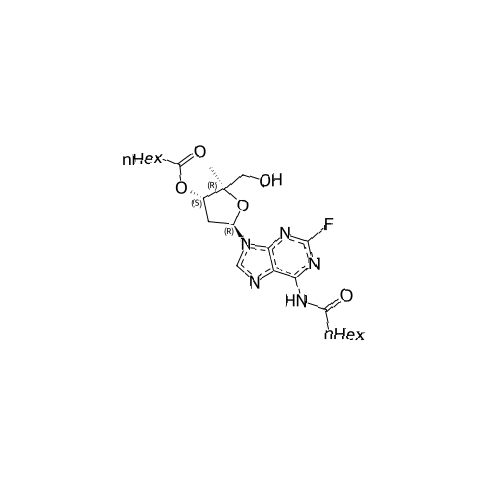 CCCCCCC(=O)Nc1nc(F)nc2c1ncn2[C@H]1C[C@H](OC(=O)CCCCCC)[C@@](C)(CO)O1